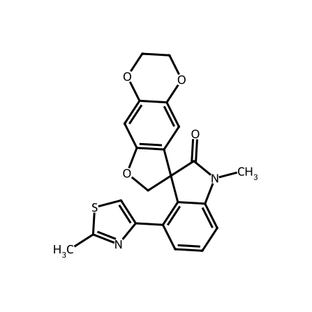 Cc1nc(-c2cccc3c2C2(COc4cc5c(cc42)OCCO5)C(=O)N3C)cs1